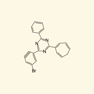 Brc1cc#cc(-c2nc(C3=CC=CCC=C3)nc(-c3ccccc3)n2)c1